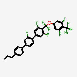 CCCc1ccc(-c2ccc(-c3cc(F)c(C(F)(F)Oc4cc(F)c(C(F)(F)Br)c(F)c4)c(F)c3)c(F)c2)cc1